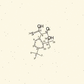 CC(C)(C)c1ccc(C(C(=O)O)C(O)=S)c(C(C)(C)C)c1